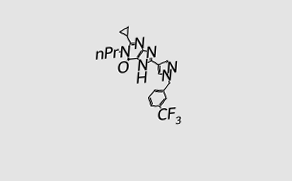 CCCn1c(C2CC2)nc2nc(-c3cnn(Cc4cccc(C(F)(F)F)c4)c3)[nH]c2c1=O